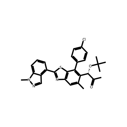 CC(=O)[C@@H](OC(C)(C)C)c1c(C)cc2nc(-c3cccc4c3cnn4C)sc2c1-c1ccc(Cl)cc1